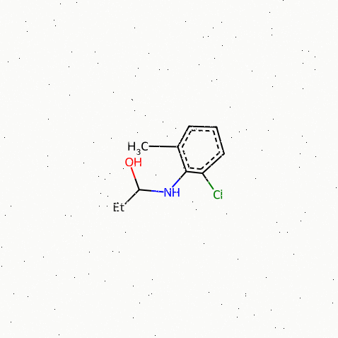 CCC(O)Nc1c(C)cccc1Cl